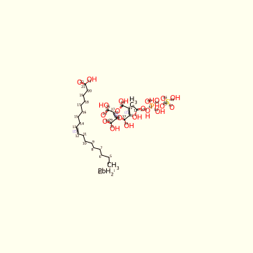 CC(=O)O.CCCCCCCC/C=C\CCCCCCCC(=O)O.O=C(O)/C=C\C(=O)O.O=C(O)/C=C\C(=O)O.O=P(O)(O)O.O=S(=O)(O)O.[PbH2]